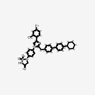 O=C1CN(c2ccc(-n3cc(-c4ccc(F)cc4Cl)nc3Cc3ccc(-c4ccc(C5CCCCC5)cc4)cc3)cc2)S(=O)(=O)N1